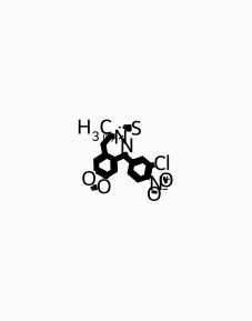 C[C@@H]1Cc2cc3c(cc2C(c2ccc([N+](=O)[O-])c(Cl)c2)=NN1[C]=S)OCO3